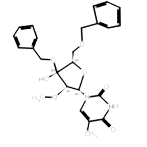 CO[C@@H]1[C@H](n2cc(C)c(=O)[nH]c2=O)O[C@H](COCc2ccccc2)[C@@]1(O)OCc1ccccc1